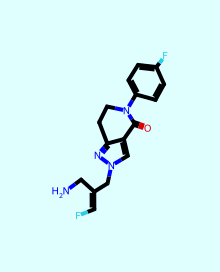 NC/C(=C\F)Cn1cc2c(n1)CCN(c1ccc(F)cc1)C2=O